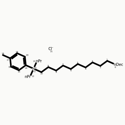 CCCCCCCCCCCCCCCCCCCC[N+](CCC)(CCC)c1ccc(C)cc1.[Cl-]